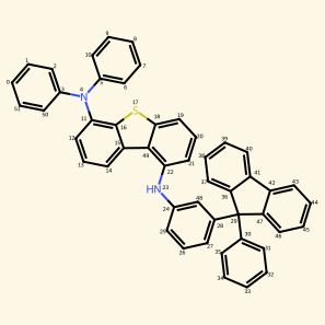 c1ccc(N(c2ccccc2)c2cccc3c2sc2cccc(Nc4cccc(C5(c6ccccc6)c6ccccc6-c6ccccc65)c4)c23)cc1